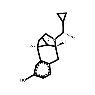 C[C@@H](C1CC1)N1CC[C@]2(C)c3cc(O)ccc3C[C@@H]1[C@@H]2C